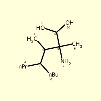 CCCCC(CCC)C(C)C(C)(N)C(O)O